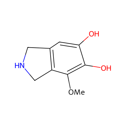 COc1c(O)c(O)cc2c1CNC2